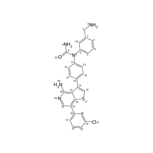 NCc1cccc(N(C(N)=O)c2ccc(-c3csc4c(-c5cccc(Cl)c5)cnc(N)c34)cc2)c1